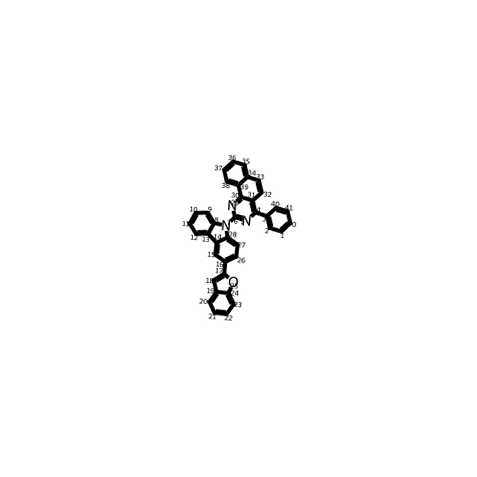 c1ccc(-c2nc(-n3c4ccccc4c4cc(-c5cc6ccccc6o5)ccc43)nc3c2ccc2ccccc23)cc1